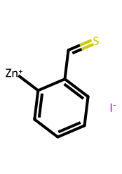 S=Cc1cccc[c]1[Zn+].[I-]